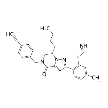 C#Cc1ccc(CN2CC(CCCC)n3nc(-c4ccc(C)cc4CC=N)cc3C2=O)cc1